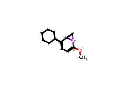 COC1=CC=C(C2CCCCC2)C2CI12